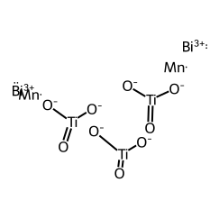 [Bi+3].[Bi+3].[Mn].[Mn].[O]=[Ti]([O-])[O-].[O]=[Ti]([O-])[O-].[O]=[Ti]([O-])[O-]